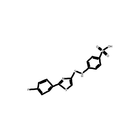 O=S(=O)(O)c1ccc(NSc2csc(-c3ccc(F)cc3)n2)cc1